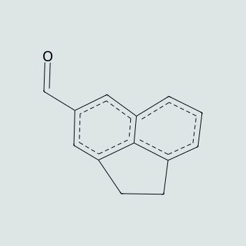 O=Cc1cc2c3c(cccc3c1)CC2